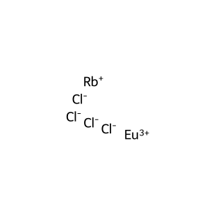 [Cl-].[Cl-].[Cl-].[Cl-].[Eu+3].[Rb+]